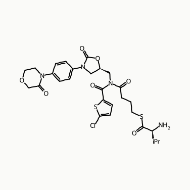 CC(C)[C@H](N)C(=O)SCCCC(=O)N(C[C@H]1CN(c2ccc(N3CCOCC3=O)cc2)C(=O)O1)C(=O)c1ccc(Cl)s1